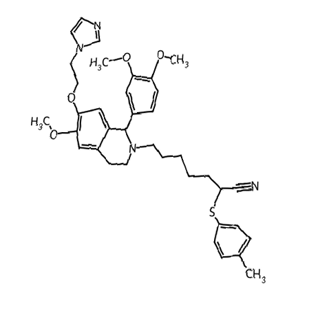 COc1ccc(C2c3cc(OCCn4ccnc4)c(OC)cc3CCN2CCCCCC(C#N)Sc2ccc(C)cc2)cc1OC